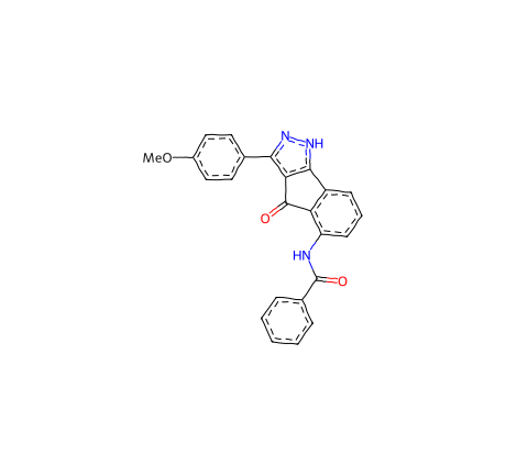 COc1ccc(-c2n[nH]c3c2C(=O)c2c(NC(=O)c4ccccc4)cccc2-3)cc1